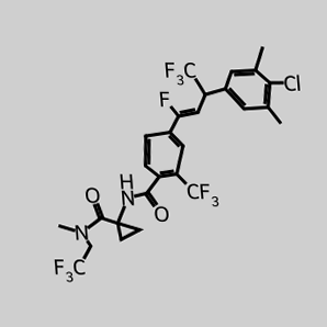 Cc1cc(C(C=C(F)c2ccc(C(=O)NC3(C(=O)N(C)CC(F)(F)F)CC3)c(C(F)(F)F)c2)C(F)(F)F)cc(C)c1Cl